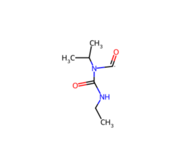 CCNC(=O)N([C]=O)C(C)C